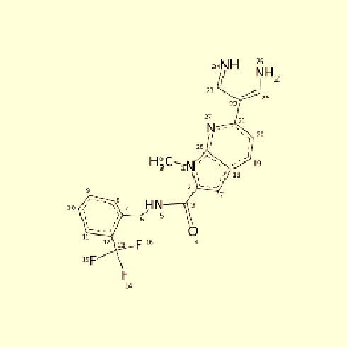 Cn1c(C(=O)NCc2ccccc2C(F)(F)F)cc2ccc(/C(C=N)=C/N)nc21